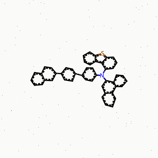 c1ccc2cc(-c3ccc(-c4ccc(N(c5cc6ccccc6c6ccccc56)c5cccc6sc7ccccc7c56)cc4)cc3)ccc2c1